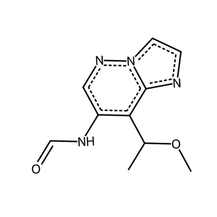 COC(C)c1c(NC=O)cnn2ccnc12